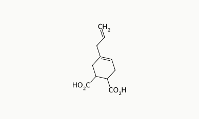 C=CCC1=CCC(C(=O)O)C(C(=O)O)C1